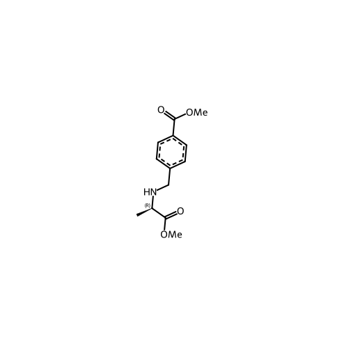 COC(=O)c1ccc(CN[C@H](C)C(=O)OC)cc1